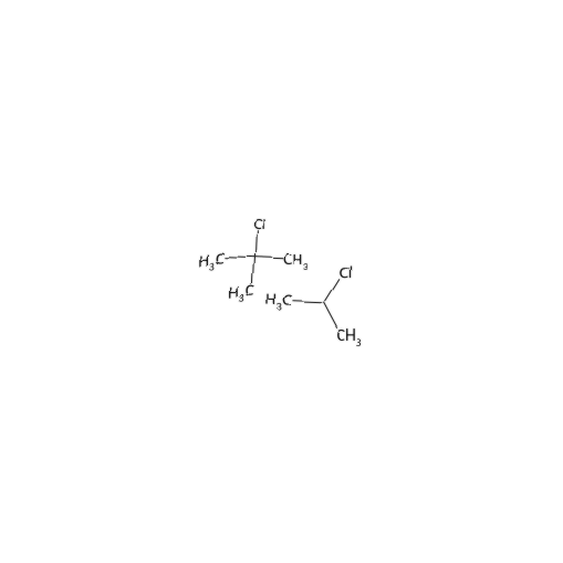 CC(C)(C)Cl.CC(C)Cl